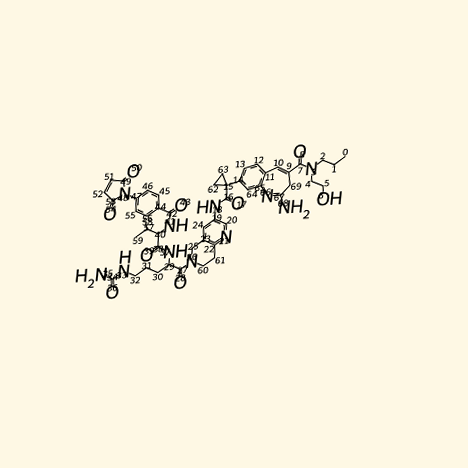 CCCN(CCO)C(=O)C1=Cc2ccc(C3(C(=O)Nc4cnc5c(c4)CN(C(=O)C(CCCNC(N)=O)NC(=O)C(NC(=O)c4ccc(N6C(=O)C=CC6=O)cc4)C(C)C)CC5)CC3)cc2N=C(N)C1